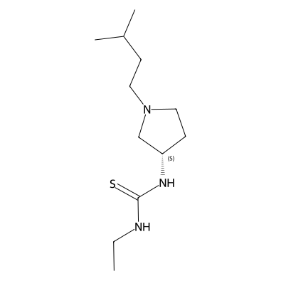 CCNC(=S)N[C@H]1CCN(CCC(C)C)C1